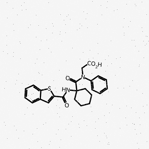 O=C(O)CN(C(=O)C1(NC(=O)c2cc3ccccc3s2)CCCCC1)c1ccccc1